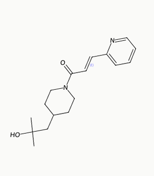 CC(C)(O)CC1CCN(C(=O)/C=C/c2ccccn2)CC1